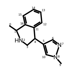 CC1NCC(c2cnn(C)c2)c2ccccc21